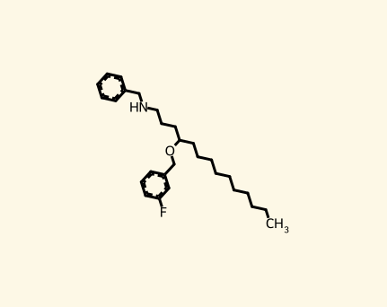 CCCCCCCCCCC(CCCNCc1ccccc1)OCc1cccc(F)c1